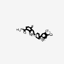 NC(=O)c1ccc(F)c(CCN2CCC(O)(c3ccc(Cl)c(C(F)(F)F)c3)CC2)c1N